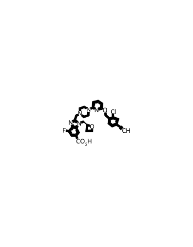 C#Cc1ccc(COc2cccc(N3CCN(Cc4nc5c(F)cc(C(=O)O)cc5n4C[C@@H]4CCO4)CC3)n2)c(Cl)c1